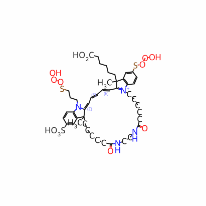 CC1(CCCCCC(=O)O)C2=[N+](CCCCCC(=O)NCCNC(=O)CCCCCC3(C)/C(=C/C=C/C=C/2)N(CCCSOOO)c2ccc(S(=O)(=O)O)cc23)c2ccc(SOOO)cc21